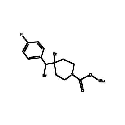 CC(C)(C)OC(=O)N1CCC(Br)(C(Br)c2ccc(F)cc2)CC1